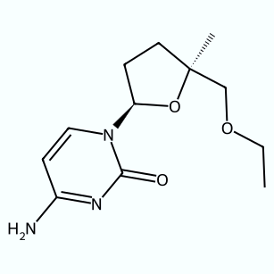 CCOC[C@]1(C)CC[C@H](n2ccc(N)nc2=O)O1